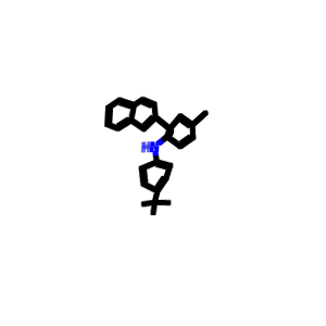 Cc1ccc(Nc2ccc(C(C)(C)C)cc2)c(-c2ccc3ccccc3c2)c1